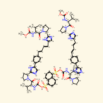 COC(=O)N[C@H](C(=O)N1CCC[C@H]1c1ncc(C=CC=Cc2ccc(-c3cnc([C@@H]4CCCN4C(=O)[C@@H](NC(=O)OS(=O)(=O)c4cccc5c(S(=O)(=O)OC(=O)N[C@H](C(=O)N6CCC[C@H]6c6ncc(-c7ccc(C=CC=Cc8cnc([C@@H]9CCCN9C(=O)[C@@H](NC(=O)OC)C(C)C)[nH]8)cc7)[nH]6)C(C)C)cccc45)C(C)C)[nH]3)cc2)[nH]1)C(C)C